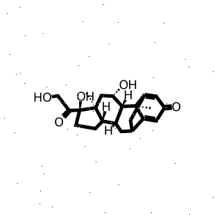 C[C@]12C3=CC(=O)C=C1C(C3)C[C@@H]1[C@@H]2[C@@H](O)C[C@@]2(C)[C@H]1CC[C@]2(O)C(=O)CO